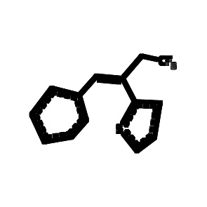 FC(F)(F)CC(=Cc1ccccc1)c1cccs1